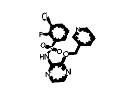 O=S(=O)(Nc1nccnc1OCc1cccnc1)c1cccc(Cl)c1F